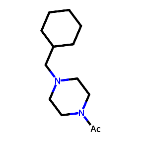 CC(=O)N1CCN(CC2CCCCC2)CC1